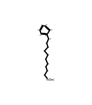 CCCCCCCCCCCCCCCCCCCCc1c[c]ccc1